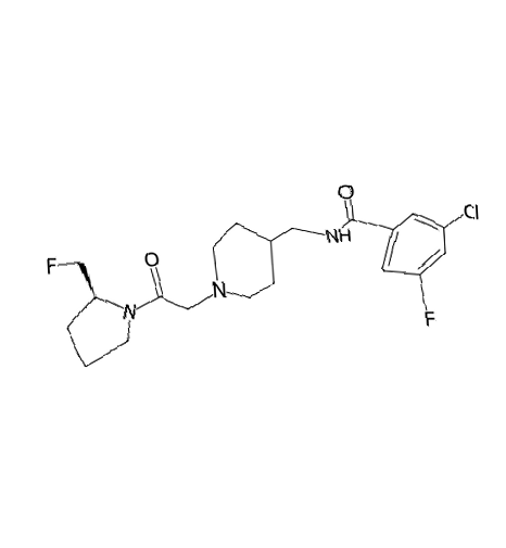 O=C(NCC1CCN(CC(=O)N2CCC[C@H]2CF)CC1)c1cc(F)cc(Cl)c1